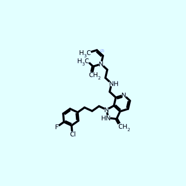 C=C1NN(CCCc2ccc(F)c(Cl)c2)c2c1ccnc2CNCCN(/C=C\C)C(=C)C